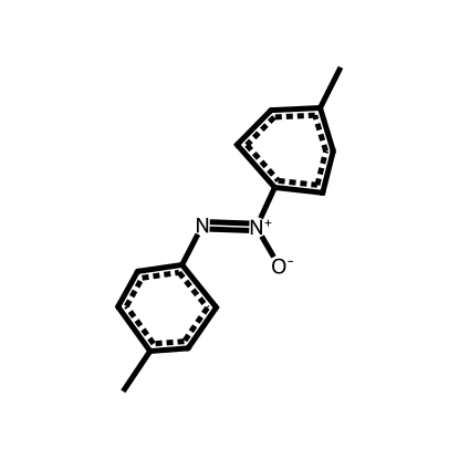 Cc1ccc(/N=[N+](\[O-])c2ccc(C)cc2)cc1